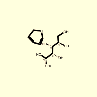 C1=CCOC=C1.O=C[C@@H](O)[C@@H](O)[C@H](O)[C@H](O)CO